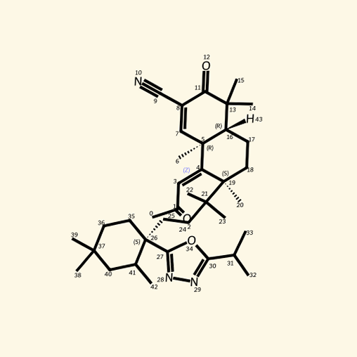 CC(=O)/C=C1/[C@@]2(C)C=C(C#N)C(=O)C(C)(C)[C@@H]2CC[C@@]1(C)C(C)(C)CC[C@@]1(c2nnc(C(C)C)o2)CCC(C)(C)CC1C